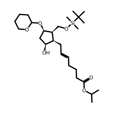 CC(C)OC(=O)CCCC=CC[C@@H]1[C@H](CO[Si](C)(C)C(C)(C)C)[C@H](OC2CCCCO2)C[C@@H]1O